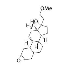 COCC[C@@]1(O)CC[C@H]2[C@@H]3CCC4CC5OC5C[C@H]4C3=CC[C@@]21C